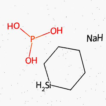 C1CC[SiH2]CC1.OP(O)O.[NaH]